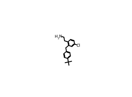 CC(C)(C)c1ccc(Cc2cc(Cl)ccc2CCN)cc1